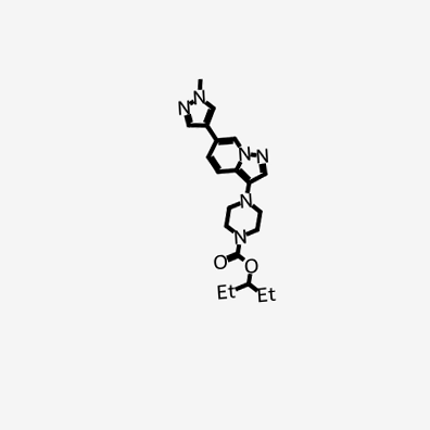 CCC(CC)OC(=O)N1CCN(c2cnn3cc(-c4cnn(C)c4)ccc23)CC1